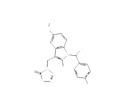 COc1ccc2c(c1)c(Cn1nn[nH]c1=O)c(C)n2C(O)c1ccc(Cl)cc1